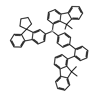 CC1(C)c2ccccc2-c2cccc(-c3ccccc3-c3ccc(N(c4ccc5c(c4)C4(CCCC4)c4ccccc4-5)c4cccc5c4C(C)(C)c4ccccc4-5)cc3)c21